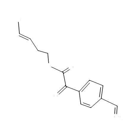 C=Cc1ccc(C(=O)C(=O)OCC/C=C/CC)cc1